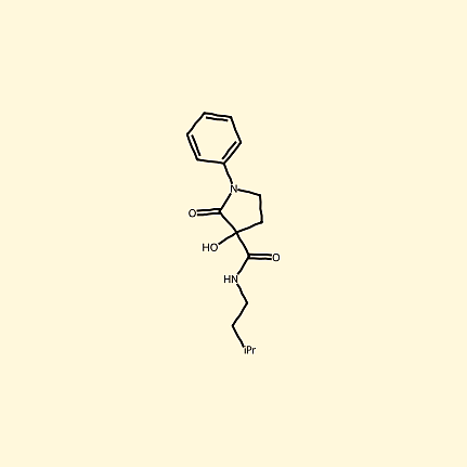 CC(C)CCNC(=O)C1(O)CCN(c2ccccc2)C1=O